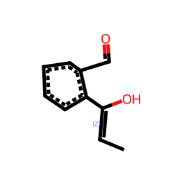 C/C=C(\O)c1ccccc1C=O